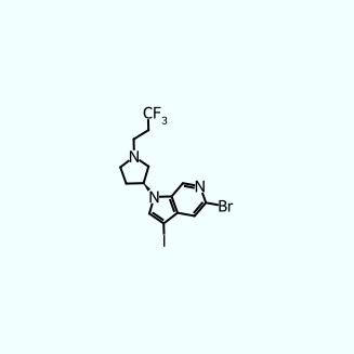 FC(F)(F)CCN1CC[C@H](n2cc(I)c3cc(Br)ncc32)C1